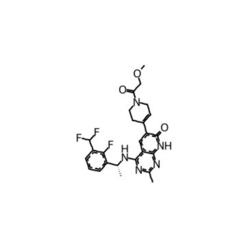 COCC(=O)N1CC=C(c2cc3c(N[C@H](C)c4cccc(C(F)F)c4F)nc(C)nc3[nH]c2=O)CC1